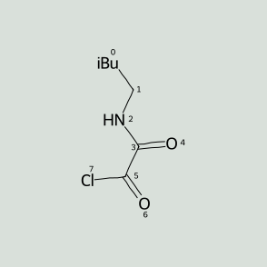 CCC(C)CNC(=O)C(=O)Cl